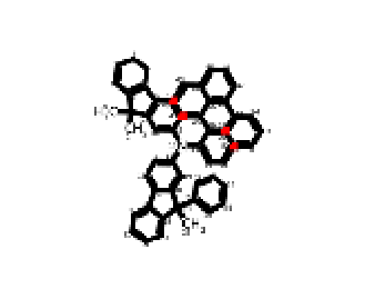 CC1(C)C2=C(CCC=C2)c2ccc(N(c3ccc4c(c3)C(C)(c3ccccc3)c3ccccc3-4)c3ccccc3-c3cccc4cccc(-c5ccccc5)c34)cc21